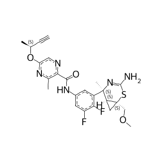 C#C[C@H](C)Oc1cnc(C(=O)Nc2cc(F)c(F)c([C@@]3(C)N=C(N)S[C@@]4(COC)C[C@H]43)c2)c(C)n1